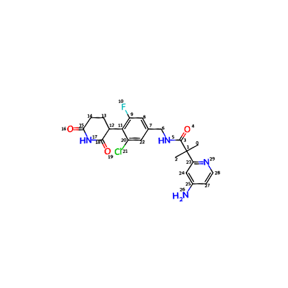 CC(C)(C(=O)NCc1cc(F)c(C2CCC(=O)NC2=O)c(Cl)c1)c1cc(N)ccn1